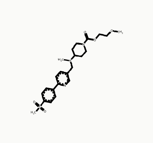 COCCOC(=O)N1CCC(N(C)Cc2ccc(-c3ccc(S(C)(=O)=O)cc3)nc2)CC1